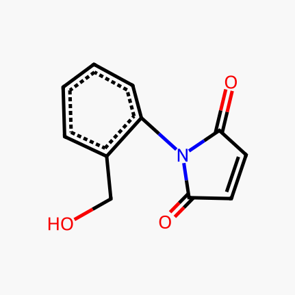 O=C1C=CC(=O)N1c1ccccc1CO